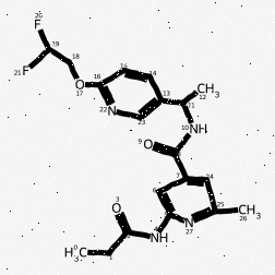 CCC(=O)Nc1cc(C(=O)NC(C)c2ccc(OCC(F)F)nc2)cc(C)n1